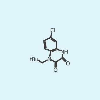 CC(C)(C)Cn1c(=O)c(=O)[nH]c2cc(Cl)ccc21